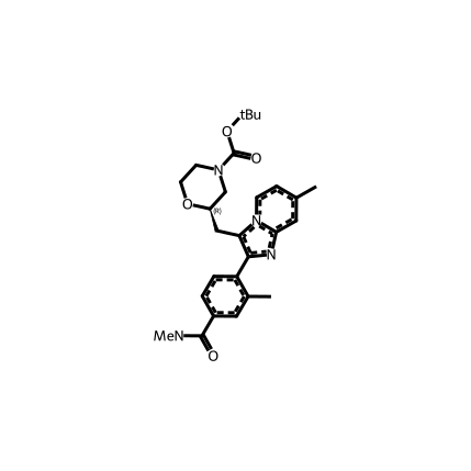 CNC(=O)c1ccc(-c2nc3cc(C)ccn3c2C[C@@H]2CN(C(=O)OC(C)(C)C)CCO2)c(C)c1